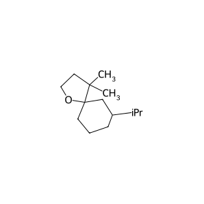 CC(C)C1CCCC2(C1)OCCC2(C)C